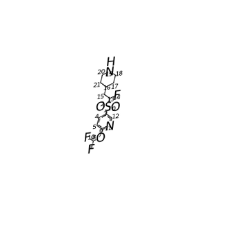 O=S(=O)(c1ccc(OC(F)F)nc1)C(F)CC1CCNCC1